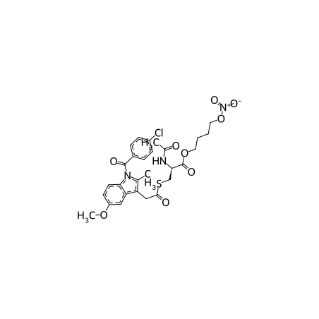 COc1ccc2c(c1)c(CC(=O)SC[C@@H](NC(C)=O)C(=O)OCCCCO[N+](=O)[O-])c(C)n2C(=O)c1ccc(Cl)cc1